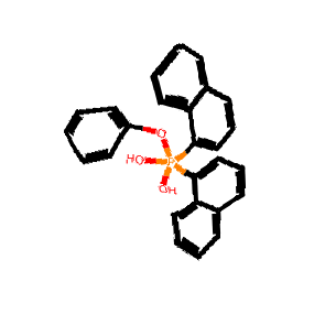 OP(O)(Oc1ccccc1)(c1cccc2ccccc12)c1cccc2ccccc12